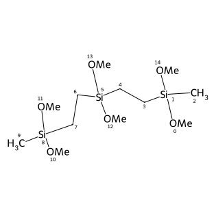 CO[Si](C)(CC[Si](CC[Si](C)(OC)OC)(OC)OC)OC